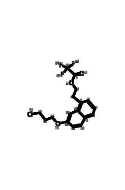 O=C(OCCc1cccc2ccc(OCCCCl)cc12)C(F)(F)F